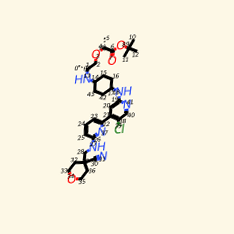 C[C@H](CO[C@H](C)C(=O)OC(C)(C)C)NC1CCC(Nc2cc(-c3cccc(NCC4(C#N)CCOCC4)n3)c(Cl)cn2)CC1